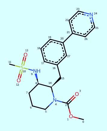 COC(=O)N1CCC[C@@H](NS(C)(=O)=O)[C@H]1Cc1cccc(-c2ccncc2)c1